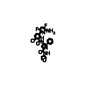 Nc1nc(-c2ccc(Cl)c(C(=O)Nc3cc(C(=O)N[C@H]4CCOC4)nn3-c3ccccc3)c2)c(F)cc1F